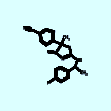 CC(NC1=NC(=O)C(C)(c2ccc(C#N)cc2)S1)c1ccc(F)cc1